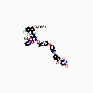 CCc1c(F)ccc2cc(OCOC)cc(-c3ncc4c(N5CC6CCC(C5)N6C(=O)OC(C)(C)C)nc(OCC5(CN6CCC(OC7CCC8(CC7)CN(c7ccc9c(c7)CN(C7CCC(=O)NC7=O)C9=O)C8)CC6)CC5)nc4c3F)c12